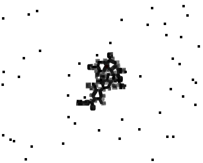 COC(=O)c1cc(N)c(C2C[C@H]3[C@@H](N2)[C@H](c2cccc(Cl)c2F)[C@]2(C(=O)Nc4cc(Cl)ccc42)N3CC(C)C)cc1C